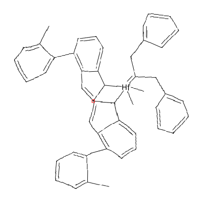 Cc1ccccc1-c1cccc2c1C=C[CH]2[Hf]([CH3])([CH3])(=[C](Cc1ccccc1)Cc1ccccc1)[CH]1C=Cc2c(-c3ccccc3C)cccc21